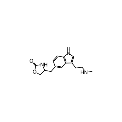 CNCCc1c[nH]c2ccc(CC3COC(=O)N3)cc12